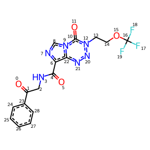 O=C(CNC(=O)c1ncn2c(=O)n(CCOC(F)(F)F)nnc12)c1ccccc1